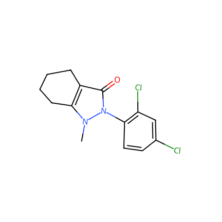 Cn1c2c(c(=O)n1-c1ccc(Cl)cc1Cl)CCCC2